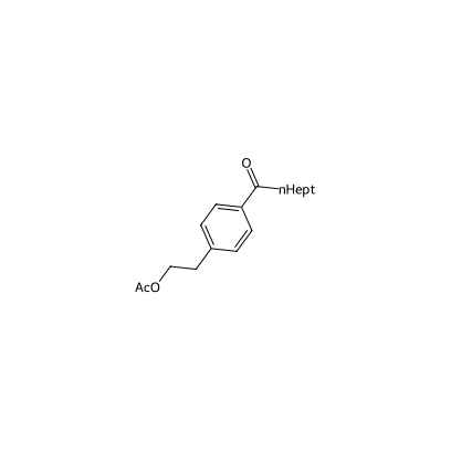 CCCCCCCC(=O)c1ccc(CCOC(C)=O)cc1